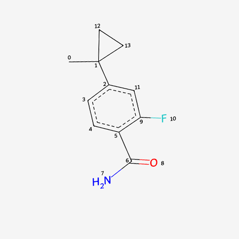 CC1(c2ccc(C(N)=O)c(F)c2)CC1